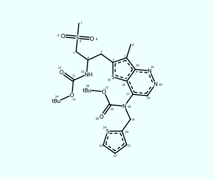 Cc1c(CC(CS(C)(=O)=O)NC(=O)OC(C)(C)C)sc2c(N(Cc3cccs3)C(=O)OC(C)(C)C)cnnc12